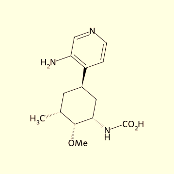 CO[C@@H]1[C@H](C)C[C@@H](c2ccncc2N)C[C@@H]1NC(=O)O